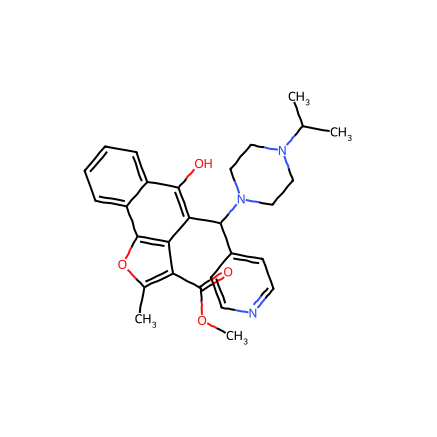 COC(=O)c1c(C)oc2c1c(C(c1ccncc1)N1CCN(C(C)C)CC1)c(O)c1ccccc12